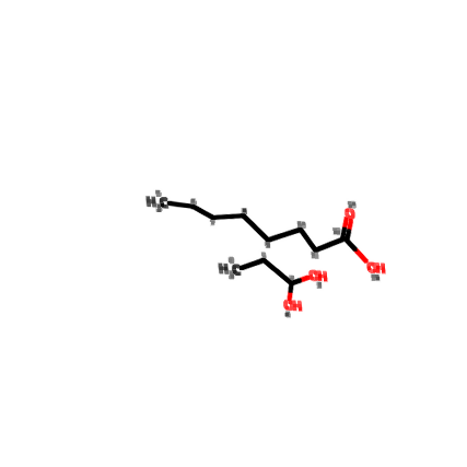 CCC(O)O.CCCCCCCC(=O)O